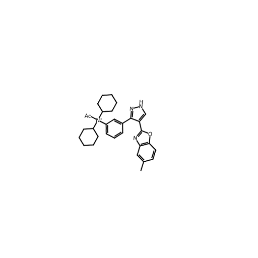 CC(=O)[N+](c1cccc(-c2n[nH]cc2-c2nc3cc(C)ccc3o2)c1)(C1CCCCC1)C1CCCCC1